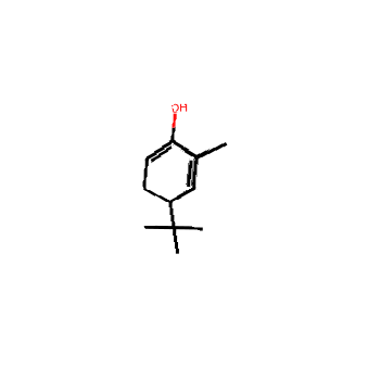 CC1=CC(C(C)(C)C)CC=C1O